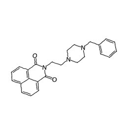 O=C1c2cccc3cccc(c23)C(=O)N1CCN1CCN(Cc2ccccc2)CC1